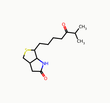 CC(C)C(=O)CCCCC1SCC2CC(=O)NC21